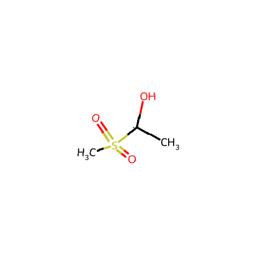 C[C](O)S(C)(=O)=O